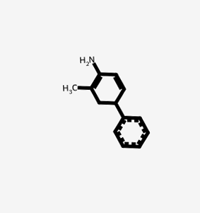 CC1=C(N)C=CC(c2ccccc2)C1